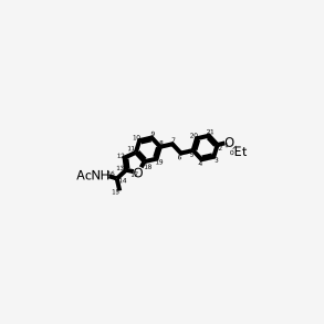 CCOc1ccc(CCc2ccc3cc(C(C)NC(C)=O)oc3c2)cc1